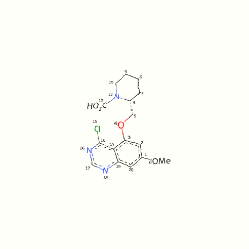 COc1cc(OC[C@H]2CCCCN2C(=O)O)c2c(Cl)ncnc2c1